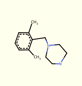 Cc1cccc(C)c1CN1CC[N]CC1